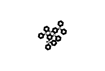 C[Si](c1ccccc1)(c1ccccc1)c1cc2c3c(c1)N(c1ccccc1)c1cc(N(c4ccccc4)c4ccccc4)ccc1B3c1ccccc1N2c1ccccc1